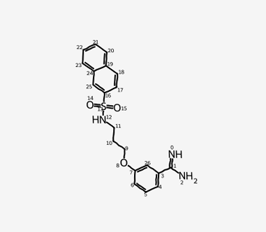 N=C(N)c1cccc(OCCCNS(=O)(=O)c2ccc3ccccc3c2)c1